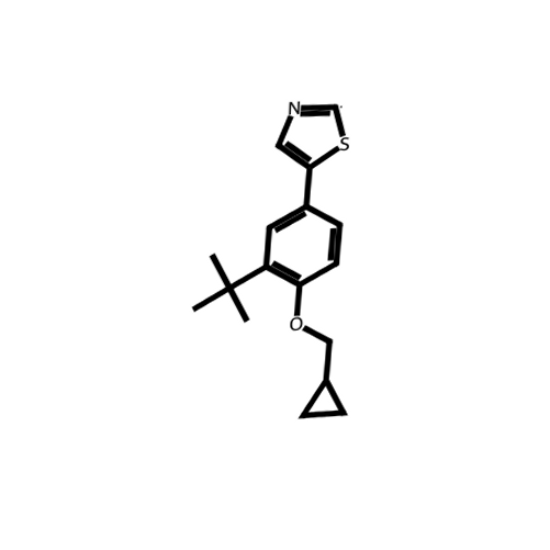 CC(C)(C)c1cc(-c2cn[c]s2)ccc1OCC1CC1